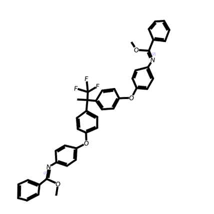 CO/C(=N\c1ccc(Oc2ccc(C(C)(c3ccc(Oc4ccc(/N=C(\OC)c5ccccc5)cc4)cc3)C(F)(F)F)cc2)cc1)c1ccccc1